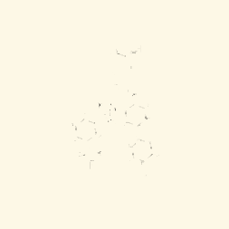 CC(C)c1ccc(-c2ccc3c(c2)N(S(=O)(=O)c2cccc(C(F)(F)F)c2)C[C@H](CCC(=O)O)O3)cc1